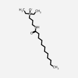 CCCCCCCCCCCC(=O)NCCC[N+]([O-])(CC)CC